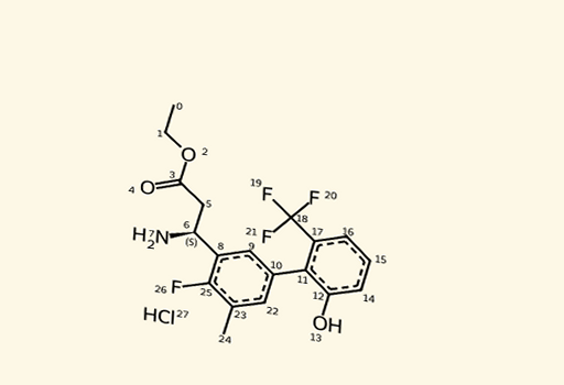 CCOC(=O)C[C@H](N)c1cc(-c2c(O)cccc2C(F)(F)F)cc(C)c1F.Cl